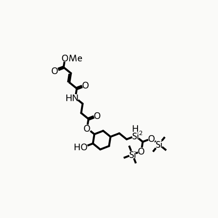 COC(=O)C=CC(=O)NCCC(=O)OC1CC(CC[SiH2]C(O[Si](C)(C)C)O[Si](C)(C)C)CCC1O